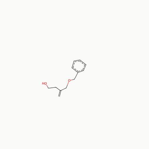 C=C(CCO)COCc1ccccc1